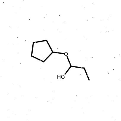 CCC(O)OC1CCCC1